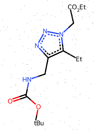 CCOC(=O)Cn1nnc(CNC(=O)OC(C)(C)C)c1CC